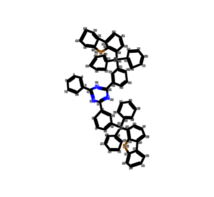 c1ccc(-c2nc(-c3cccc([Si](c4ccccc4)(c4ccccc4)c4cccc5c4sc4ccccc45)c3)nc(-c3cccc([Si](c4ccccc4)(c4ccccc4)c4cccc5c4sc4ccccc45)c3)n2)cc1